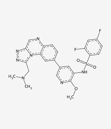 COc1ncc(-c2ccc3ncc4nnc(CN(C)C)n4c3c2)cc1NS(=O)(=O)c1ccc(F)cc1F